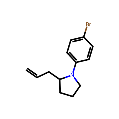 C=CCC1CCCN1c1ccc(Br)cc1